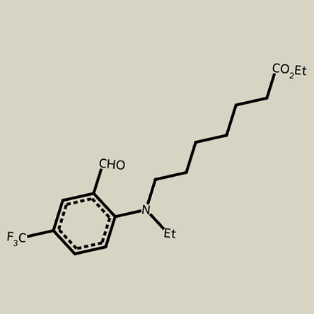 CCOC(=O)CCCCCCN(CC)c1ccc(C(F)(F)F)cc1C=O